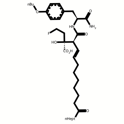 CCCCCCCC(=O)CCCCCC/C=C/[C@H](C(=O)N[C@@H](Cc1ccc(OCCCC)cc1)C(N)=O)[C@@](O)(CCF)C(=O)O